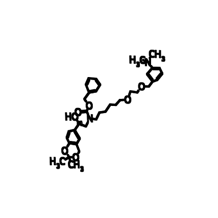 CN(C)c1cccc(COCCOCCCCCCN(C[C@@H](O)c2ccc3c(c2)COC(C)(C)O3)C(=O)OCc2ccccc2)c1